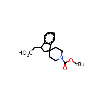 CC(C)(C)OC(=O)N1CCC2(CC1)CC(CC(=O)O)c1ccccc12